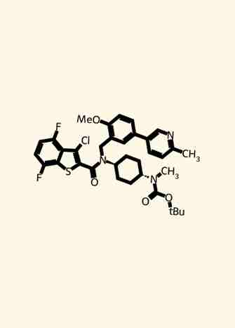 COc1ccc(-c2ccc(C)nc2)cc1CN(C(=O)c1sc2c(F)ccc(F)c2c1Cl)[C@H]1CC[C@H](N(C)C(=O)OC(C)(C)C)CC1